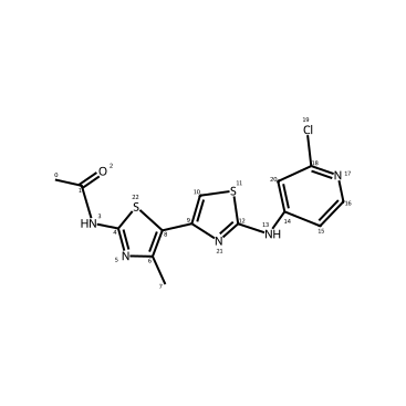 CC(=O)Nc1nc(C)c(-c2csc(Nc3ccnc(Cl)c3)n2)s1